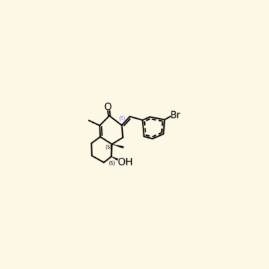 CC1=C2CCC[C@H](O)[C@@]2(C)C/C(=C\c2cccc(Br)c2)C1=O